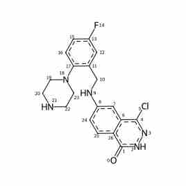 O=c1[nH]nc(Cl)c2cc(NCc3cc(F)ccc3N3CCNCC3)ccc12